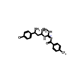 CC(C)(C)N/C(=N/C(=O)c1ccc(C(F)(F)F)cc1)NC(N)CC(N)c1ccc(Cl)cc1